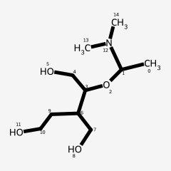 CC(OC(CO)C(CO)CCO)N(C)C